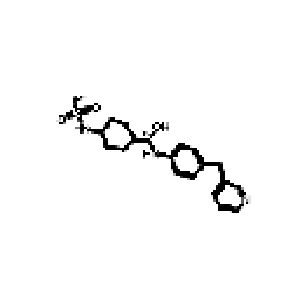 CC(C)S(=O)(=O)NC1CCC([C@@H](O)Nc2ccc(Cc3cccnc3)cc2)CC1